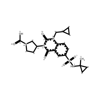 CC1(NS(=O)(=O)c2ccc3c(c2)c(=O)n(C2CCN(C(=O)O)C2)c(=O)n3CC2CC2)CC1